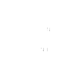 C[N+](C)(C)Cc1ccccc1.N